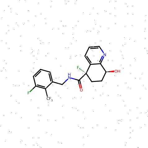 O=C(NCc1cccc(F)c1C(F)(F)F)[C@]1(F)CC[C@H](O)c2ncccc21